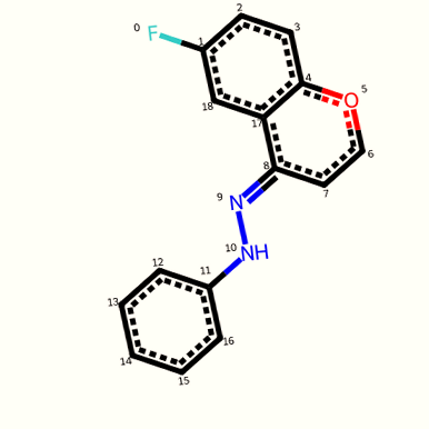 Fc1ccc2occc(=NNc3ccccc3)c2c1